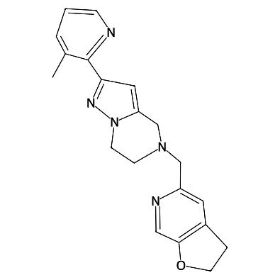 Cc1cccnc1-c1cc2n(n1)CCN(Cc1cc3c(cn1)OCC3)C2